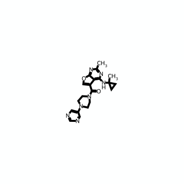 Cc1nc(NC2(C)CC2)c2c(C(=O)N3CCN(c4cncnc4)CC3)coc2n1